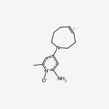 Cc1cc(N2CC/C=C\CCC2)cc(N)[n+]1[O-]